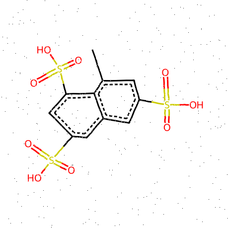 Cc1cc(S(=O)(=O)O)cc2cc(S(=O)(=O)O)cc(S(=O)(=O)O)c12